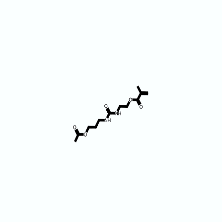 C=C(C)C(=O)OCCNC(=O)NCCCOC(C)=O